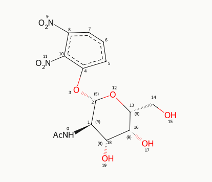 CC(=O)N[C@H]1[C@H](Oc2cccc([N+](=O)[O-])c2[N+](=O)[O-])O[C@H](CO)[C@H](O)[C@@H]1O